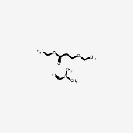 CCOCCC(=O)OCC.CN(C)C=O